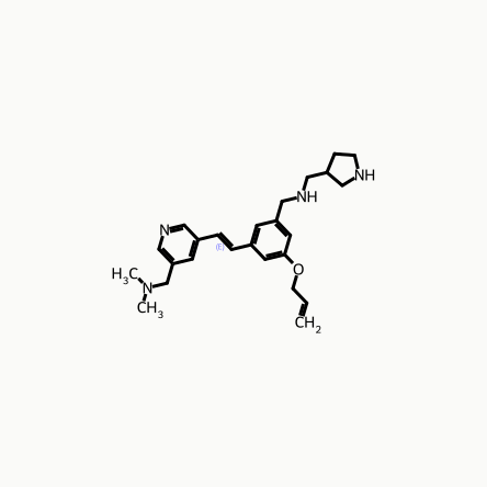 C=CCOc1cc(/C=C/c2cncc(CN(C)C)c2)cc(CNCC2CCNC2)c1